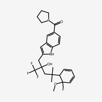 COC1(F)C=CC=CC1C(C)(C)CC(O)(Cc1cc2cc(C(=O)N3CCCC3)ccc2[nH]1)C(F)(F)F